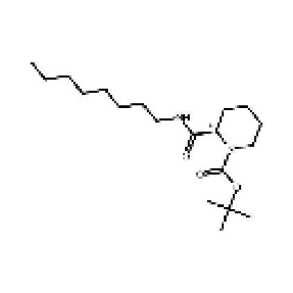 CCCCCCCCNC(=O)[C@H]1CCCCN1C(=O)OC(C)(C)C